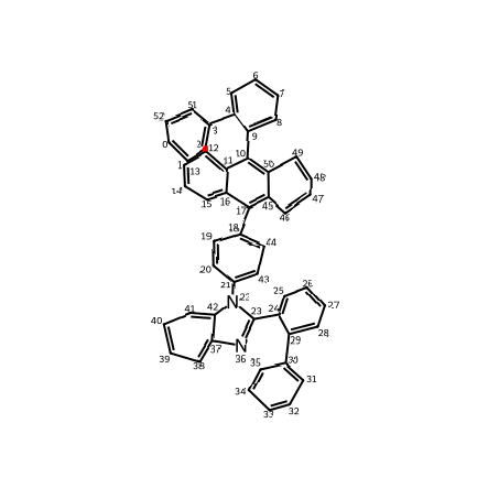 c1ccc(-c2ccccc2-c2c3ccccc3c(-c3ccc(-n4c(-c5ccccc5-c5ccccc5)nc5ccccc54)cc3)c3ccccc23)cc1